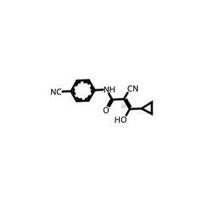 N#C/C(C(=O)Nc1ccc(C#N)cc1)=C(/O)C1CC1